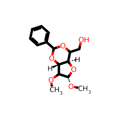 COC1[C@@H](OC)O[C@@H]2C(CO)OC(c3ccccc3)O[C@@H]12